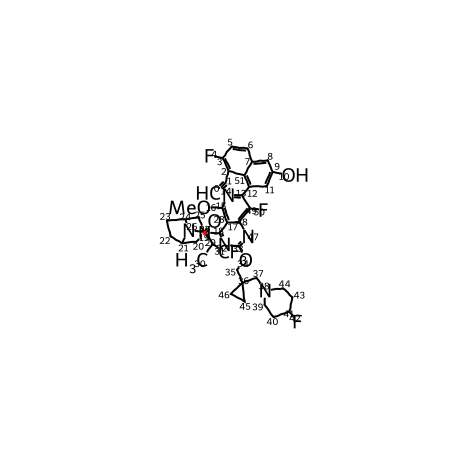 C#Cc1c(F)ccc2cc(O)cc(-c3nc(OC)c4c(N5CC6CCC(C5)N6C(=O)C(C)C(F)(F)F)nc(OCC5(CN6CCC(F)CC6)CC5)nc4c3F)c12